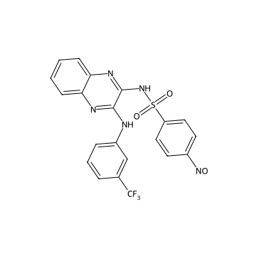 O=Nc1ccc(S(=O)(=O)Nc2nc3ccccc3nc2Nc2cccc(C(F)(F)F)c2)cc1